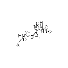 Cc1cc(Oc2ccc(C)c(NC(=O)CCCN(C)C)c2)cc(-c2cn(C)c(=O)c3[nH]c(C(=O)NC45CC(C4)C5)cc23)c1